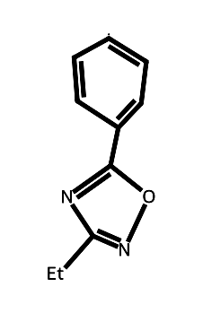 CCc1noc(-c2cc[c]cc2)n1